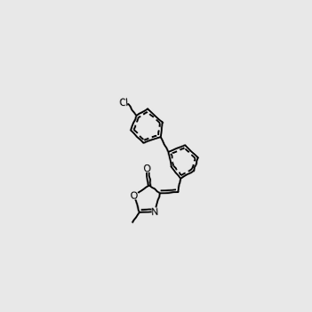 CC1=NC(=Cc2cccc(-c3ccc(Cl)cc3)c2)C(=O)O1